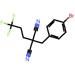 N#CC(C#N)(CCC(F)(F)F)Cc1ccc(Br)cc1